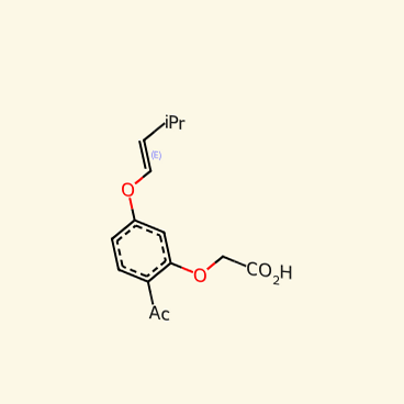 CC(=O)c1ccc(O/C=C/C(C)C)cc1OCC(=O)O